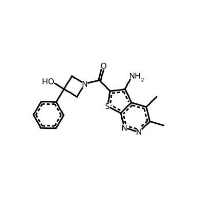 Cc1nnc2sc(C(=O)N3CC(O)(c4ccccc4)C3)c(N)c2c1C